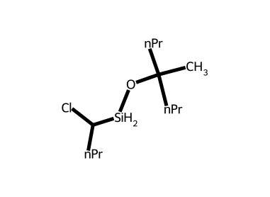 CCCC(Cl)[SiH2]OC(C)(CCC)CCC